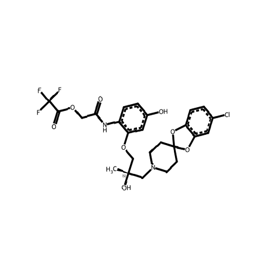 C[C@@](O)(COc1cc(O)ccc1NC(=O)COC(=O)C(F)(F)F)CN1CCC2(CC1)Oc1ccc(Cl)cc1O2